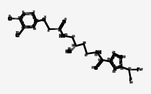 O=C(COc1ccc(Cl)c(Cl)c1)NC[C@@H](O)CCNC(=O)c1coc(C(F)F)n1